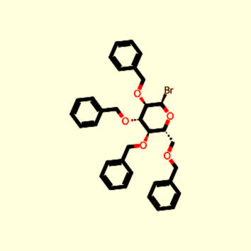 Br[C@H]1O[C@H](COCc2ccccc2)[C@@H](OCc2ccccc2)[C@H](OCc2ccccc2)[C@H]1OCc1ccccc1